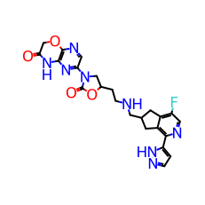 O=C1COc2ncc(N3CC(CCNCC4Cc5c(F)cnc(-c6ccn[nH]6)c5C4)OC3=O)nc2N1